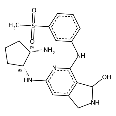 CS(=O)(=O)c1cccc(Nc2nc(N[C@@H]3CCC[C@@H]3N)cc3c2C(O)NC3)c1